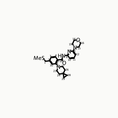 CSCc1ccc(C(=O)Nc2cccc(N3CCOCC3)n2)c(N2CCC3(CC2)CC3)c1